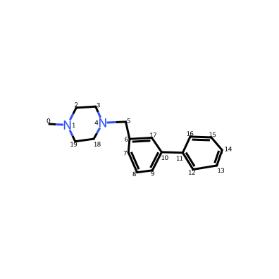 CN1CCN(Cc2cccc(-c3cc[c]cc3)c2)CC1